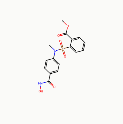 COC(=O)c1ccccc1S(=O)(=O)N(C)c1ccc(C(=O)NO)cc1